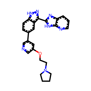 c1cnc2[nH]c(-c3n[nH]c4ccc(-c5cncc(OCCN6CCCC6)c5)cc34)nc2c1